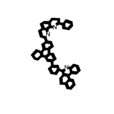 C1=Cc2c(c3cc(-c4cccc(-c5nc6ccccc6c6c5ccc5ccccc56)c4)ccc3c3ccc(-c4ccc5ccc6c(c5n4)N=C(c4ccccc4)CC6)cc23)CC1